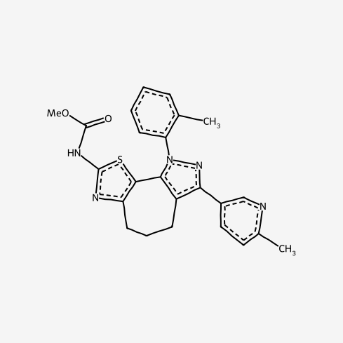 COC(=O)Nc1nc2c(s1)-c1c(c(-c3ccc(C)nc3)nn1-c1ccccc1C)CCC2